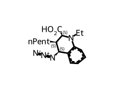 CCCCC[C@@H]1[C@H](N=[N+]=[N-])c2ccccc2N(CC)[C@@H]1C(=O)O